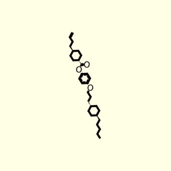 C=CCC[C@H]1CC[C@H](C(=O)Oc2ccc(OCCC[C@H]3CC[C@H](CCCCC)CC3)cc2)CC1